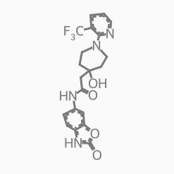 O=C(CC1(O)CCN(c2ncccc2C(F)(F)F)CC1)Nc1ccc2[nH]c(=O)oc2c1